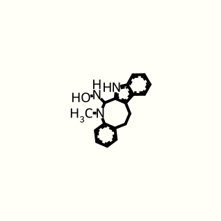 CN1c2ccccc2CCc2c([nH]c3ccccc23)C1NO